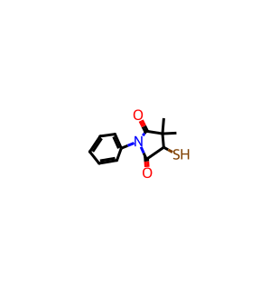 CC1(C)C(=O)N(c2ccccc2)C(=O)C1S